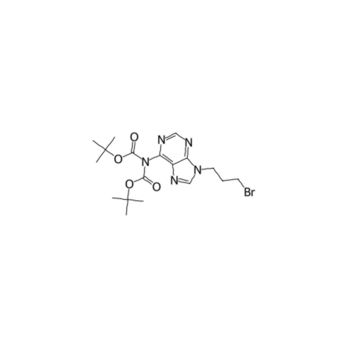 CC(C)(C)OC(=O)N(C(=O)OC(C)(C)C)c1ncnc2c1ncn2CCCBr